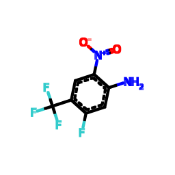 Nc1cc(F)c(C(F)(F)F)cc1[N+](=O)[O-]